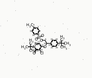 Cc1ccc(S(=O)(=O)OCC(Oc2cnn(C(C)(C)C)c(=O)c2Cl)c2ccc(C(C)(C)C)cc2)cc1